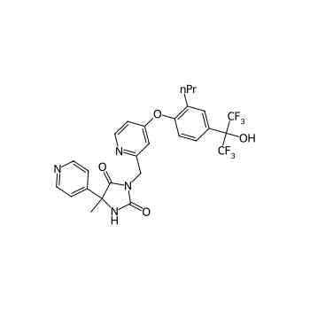 CCCc1cc(C(O)(C(F)(F)F)C(F)(F)F)ccc1Oc1ccnc(CN2C(=O)NC(C)(c3ccncc3)C2=O)c1